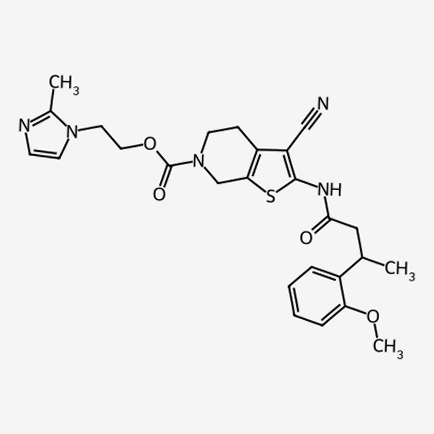 COc1ccccc1C(C)CC(=O)Nc1sc2c(c1C#N)CCN(C(=O)OCCn1ccnc1C)C2